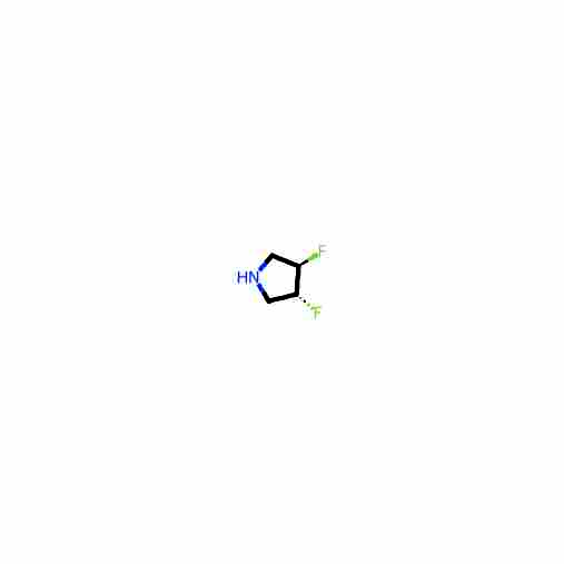 F[C@@H]1CNC[C@H]1F